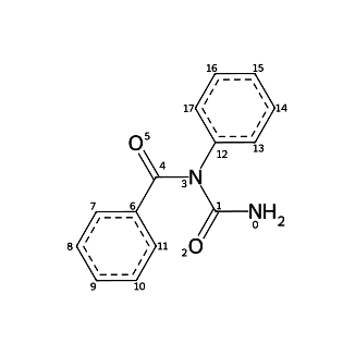 NC(=O)N(C(=O)c1ccccc1)c1ccccc1